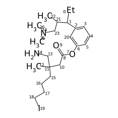 CCC(c1cccc(OC(=O)CC(C)(CN)CCCCI)c1)C(C)CN(C)C